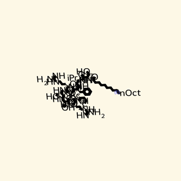 CCCCCCCC/C=C/CCCCCCCC(=O)N[C@H](C(=O)N[C@H](C(=O)N[C@@H](Cc1ccccc1)C(=O)N[C@@H](CCCNC(=N)N)C(=O)N[C@@H](CO)C(=O)N[C@@H](CO)C(=O)N[C@@H](CCCNC(=N)N)C(=O)N[C@@H](CCC(=O)O)C(C)=O)C(C)C)[C@@H](C)O